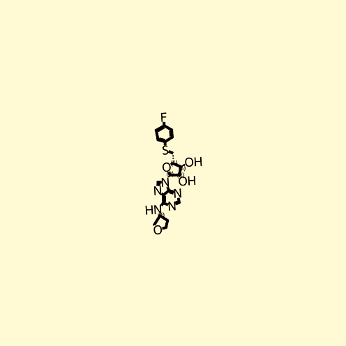 O[C@@H]1[C@H](O)[C@@H](CSc2ccc(F)cc2)O[C@H]1n1cnc2c(N[C@@H]3CCOC3)ncnc21